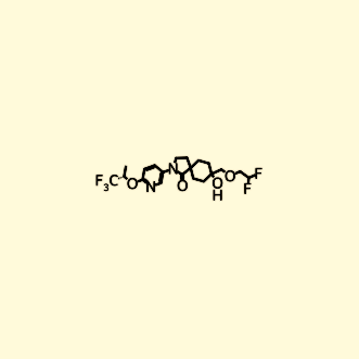 C[C@H](Oc1ccc(N2CCC3(CCC(O)(COCC(F)F)CC3)C2=O)cn1)C(F)(F)F